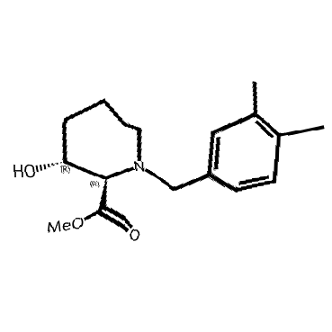 COC(=O)[C@H]1[C@H](O)CCCN1Cc1ccc(C)c(C)c1